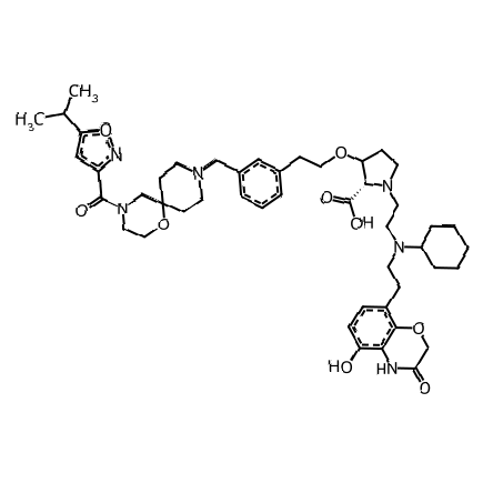 CC(C)c1cc(C(=O)N2CCOC3(CCN(Cc4cccc(CCOC5CCN(CCN(CCc6ccc(O)c7c6OCC(=O)N7)C6CCCCC6)[C@@H]5C(=O)O)c4)CC3)C2)no1